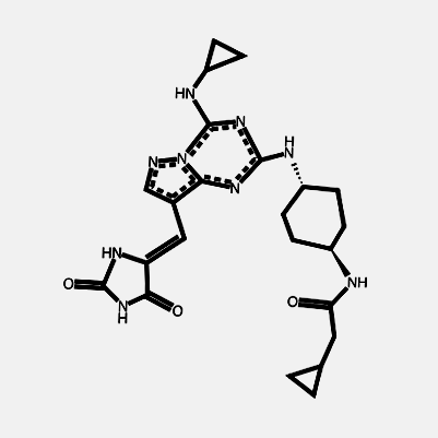 O=C1NC(=O)/C(=C/c2cnn3c(NC4CC4)nc(N[C@H]4CC[C@H](NC(=O)CC5CC5)CC4)nc23)N1